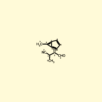 CC(C#N)NC=O.Cc1c2cccc1-2